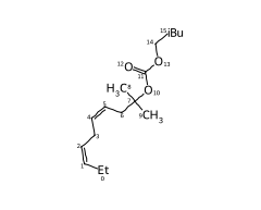 CC/C=C\C/C=C\CC(C)(C)OC(=O)OCC(C)CC